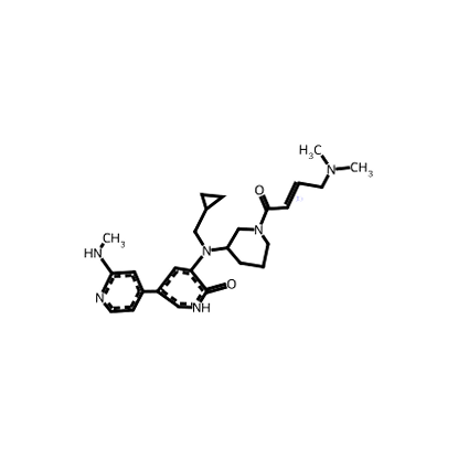 CNc1cc(-c2c[nH]c(=O)c(N(CC3CC3)C3CCCN(C(=O)/C=C/CN(C)C)C3)c2)ccn1